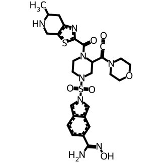 CC1Cc2nc(C(=O)N3CCN(S(=O)(=O)n4cc5ccc(C(N)=NO)cc5c4)CC3C(=C=O)N3CCOCC3)sc2CN1